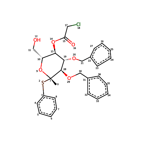 C[C@@]1(Sc2ccccc2)O[C@H](CO)[C@@H](OC(=O)CCl)[C@H](OCc2ccccc2)[C@H]1OCc1ccccc1